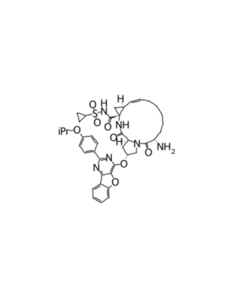 CC(C)Oc1ccc(-c2nc(O[C@@H]3C[C@H]4C(=O)N[C@]5(C(=O)NS(=O)(=O)C6CC6)C[C@H]5C=CCCCCC[C@H](N)C(=O)N4C3)c3oc4ccccc4c3n2)cc1